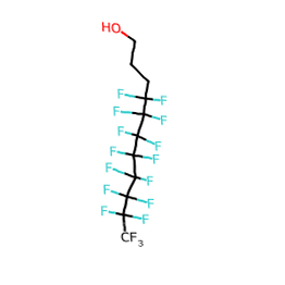 OCCCC(F)(F)C(F)(F)C(F)(F)C(F)(F)C(F)(F)C(F)(F)C(F)(F)C(F)(F)F